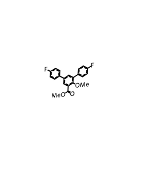 COC(=O)c1cc(-c2ccc(F)cc2)cc(-c2ccc(F)cc2)c1OC